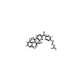 CN(C)CCOc1ccc(Nc2ncc3c(=O)n(-c4c(Cl)cccc4Cl)c(=O)[nH]c3n2)cc1